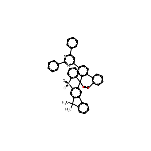 CC1(C)c2ccccc2-c2cc3c(cc21)S(=O)(=O)c1ccccc1C31c2ccccc2-c2ccccc2-c2ccc(-c3cc(-c4ccccc4)nc(-c4ccccc4)n3)cc21